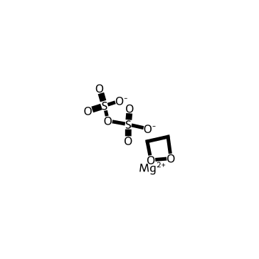 C1COO1.O=S(=O)([O-])OS(=O)(=O)[O-].[Mg+2]